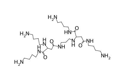 NCCCCNC(=O)CC(NCCCNC(=O)CC(NCCCCN)C(=O)NCCCCN)C(=O)NCCCCN